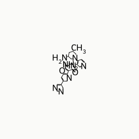 CC1CC(N)CN(c2ccncc2NC(=O)c2c(N)oc3cc(-c4cncnc4)cnc23)C1